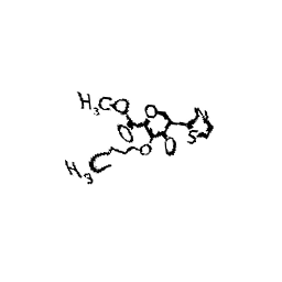 CCCCOc1c(C(=O)OC)occ(-c2nccs2)c1=O